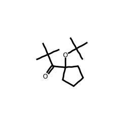 CC(C)(C)OC1(C(=O)C(C)(C)C)CCCC1